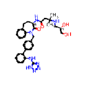 CC(C)(CC(=O)N[C@@H]1CCc2ccccc2N(Cc2ccc(-c3ccccc3Nc3nnn[nH]3)cc2)C1=O)NC[C@H](O)CO